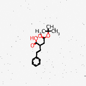 CC(C)(C)OC(=O)CC(CCc1ccccc1)C(=O)O